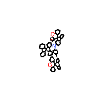 c1ccc2c(c1)Oc1ccccc1C21c2ccccc2-c2ccc(-c3ccc(N(c4ccc5c(c4)C4(c6ccccc6Oc6ccccc64)c4ccccc4-5)c4cccc5c4-c4ccccc4C54c5ccccc5-c5ccccc54)cc3)cc21